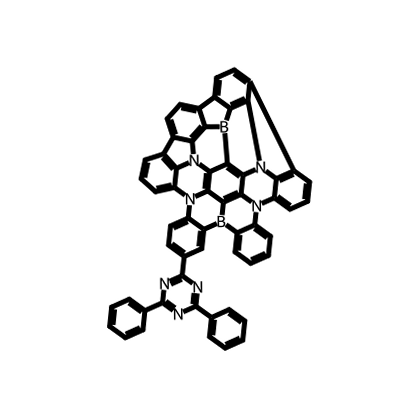 c1ccc(-c2nc(-c3ccccc3)nc(-c3ccc4c(c3)B3c5ccccc5-n5c6cccc7c8ccc9c%10c8n(c8c%11c%12c(c3c85)n-4c3cccc4c5ccc-9c(c5n%12c43)B%10%11)c76)n2)cc1